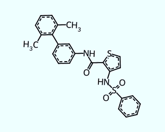 Cc1cccc(C)c1-c1cccc(NC(=O)c2sccc2NS(=O)(=O)c2ccccc2)c1